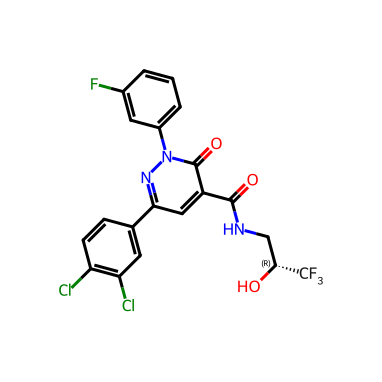 O=C(NC[C@@H](O)C(F)(F)F)c1cc(-c2ccc(Cl)c(Cl)c2)nn(-c2cccc(F)c2)c1=O